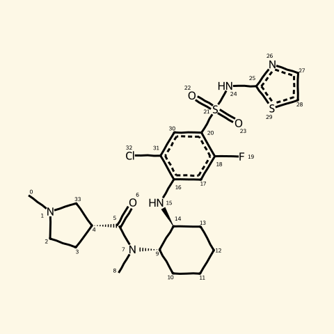 CN1CC[C@@H](C(=O)N(C)[C@H]2CCCC[C@@H]2Nc2cc(F)c(S(=O)(=O)Nc3nccs3)cc2Cl)C1